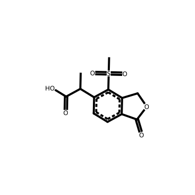 CC(C(=O)O)c1ccc2c(c1S(C)(=O)=O)COC2=O